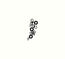 COC(=O)c1ccccc1NC(=O)c1cccc(S(=O)(=O)N(C)c2ccc(F)cc2)c1